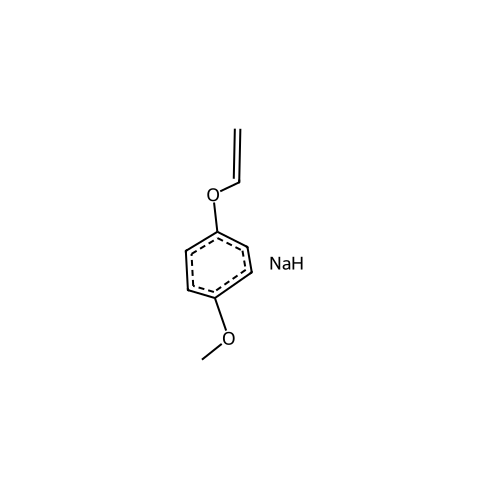 C=COc1ccc(OC)cc1.[NaH]